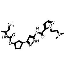 CC(CC(F)(F)F)NC(=O)OC1CC[C@H](c2cc(NC(=O)c3ccnn3CCN(C)C)[nH]n2)C1